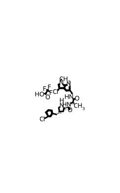 C[C@H](NC(=O)[C@H]1C[C@H](Cc2cccc(Cl)c2)CN1)C(=O)NCc1cnc2c(c1)c(Cl)cn2C.O=C(O)C(F)(F)F